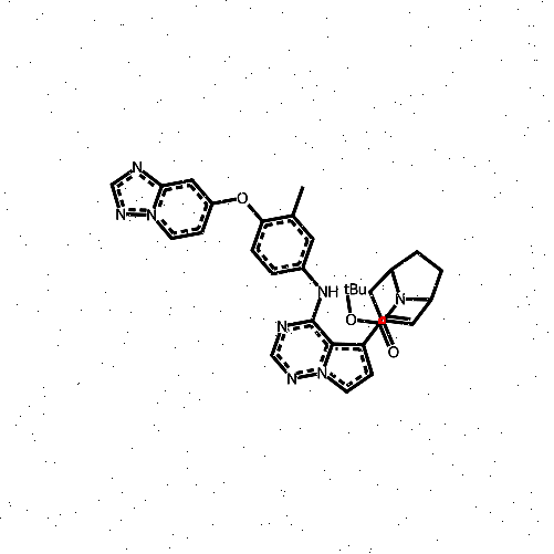 Cc1cc(Nc2ncnn3ccc(C4=CC5CCC(C4)N5C(=O)OC(C)(C)C)c23)ccc1Oc1ccn2ncnc2c1